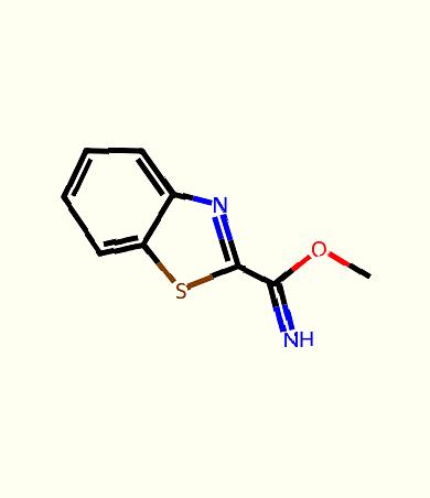 COC(=N)c1nc2ccccc2s1